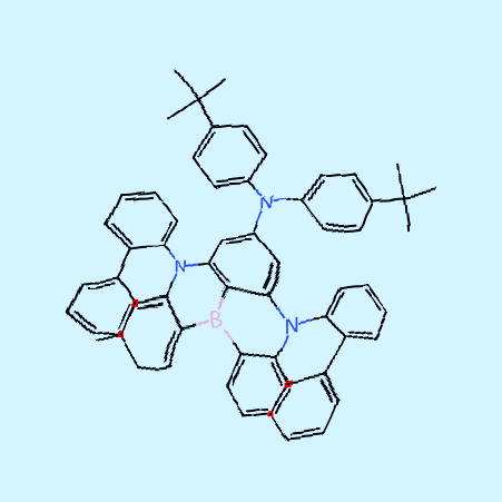 CC1C=C2C(=CC1)B1c3ccccc3N(c3ccccc3-c3ccccc3)c3cc(N(c4ccc(C(C)(C)C)cc4)c4ccc(C(C)(C)C)cc4)cc(c31)N2c1ccccc1-c1ccccc1